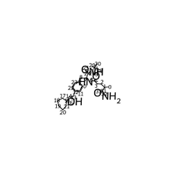 CC(C[CH]C(=O)NC(Cc1ccc(CCC2(O)CCCCC2)cc1)C(=O)NC(C)(C)C)C(N)=O